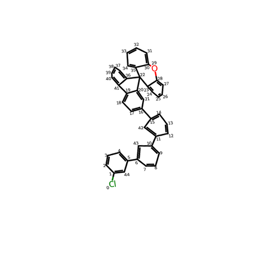 Clc1cccc(-c2cccc(-c3cccc(-c4ccc5c(c4)C4(c6ccccc6Oc6ccccc64)c4ccccc4-5)c3)c2)c1